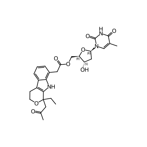 CCC1(CC(C)=O)OCCc2c1[nH]c1c(CC(=O)OC[C@H]3O[C@@H](n4cc(C)c(=O)[nH]c4=O)C[C@@H]3O)cccc21